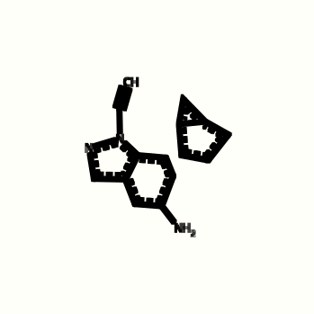 C#Cn1ncc2cc(N)ccc21.c1cc2cc-2c1